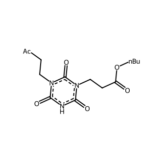 CCCCOC(=O)CCn1c(=O)[nH]c(=O)n(CCC(C)=O)c1=O